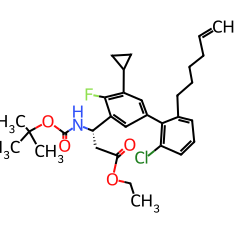 C=CCCCCc1cccc(Cl)c1-c1cc(C2CC2)c(F)c([C@H](CC(=O)OCC)NC(=O)OC(C)(C)C)c1